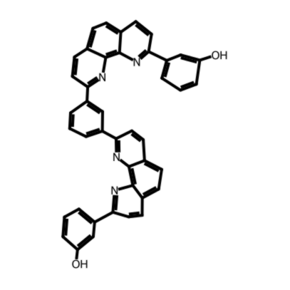 Oc1cccc(-c2ccc3ccc4ccc(-c5cccc(-c6ccc7ccc8ccc(-c9cccc(O)c9)nc8c7n6)c5)nc4c3n2)c1